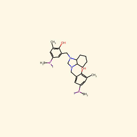 BP(I)c1cc(C)c(O)c(CN2CN(Cc3cc(P(B)I)cc(C)c3O)C3CCCCC32)c1